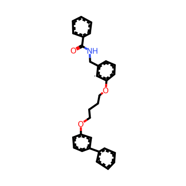 O=C(NCc1[c]c(OCCCCOc2cccc(-c3ccccc3)c2)ccc1)c1ccccc1